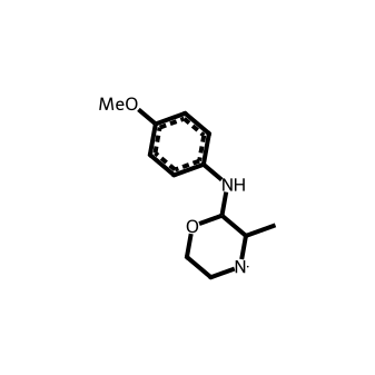 COc1ccc(NC2OCC[N]C2C)cc1